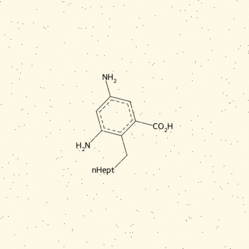 CCCCCCCCc1c(N)cc(N)cc1C(=O)O